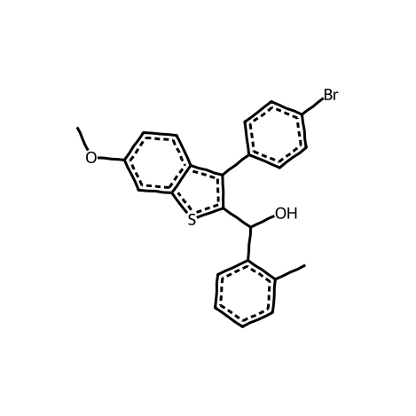 COc1ccc2c(-c3ccc(Br)cc3)c(C(O)c3ccccc3C)sc2c1